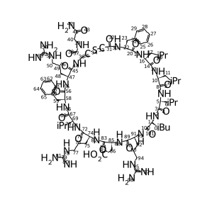 CC[C@H](C)[C@@H]1NC(=O)[C@H](C(C)C)NC(=O)[C@H](CC(C)C)NC(=O)[C@H](CC(C)C)NC(=O)[C@H](Cc2ccccc2)NC(=O)CSC[C@@H](C(=O)NCC(N)=O)NC(=O)[C@H](CCCNC(=N)N)NC(=O)[C@H](Cc2ccccc2)NC(=O)[C@H](C(C)C)NC(=O)[C@H](CCCNC(=N)N)NC(=O)[C@H](CC(=O)O)NC(=O)[C@H](CCCNC(=N)N)NC1=O